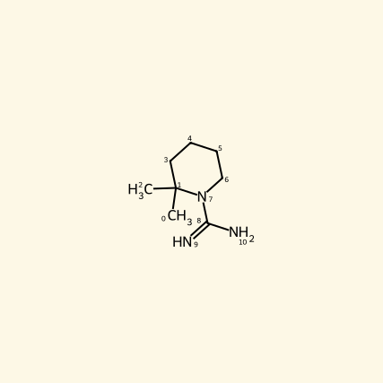 CC1(C)CCCCN1C(=N)N